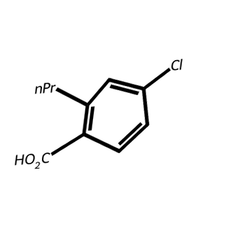 CCCc1cc(Cl)ccc1C(=O)O